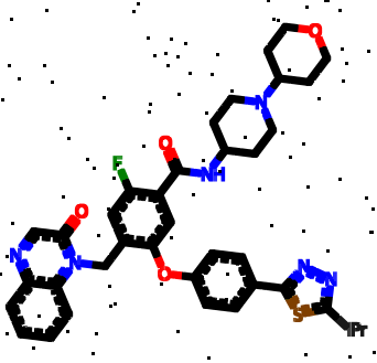 CC(C)c1nnc(-c2ccc(Oc3cc(C(=O)NC4CCN(C5CCOCC5)CC4)c(F)cc3Cn3c(=O)cnc4ccccc43)cc2)s1